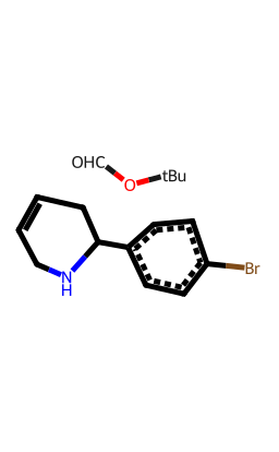 Brc1ccc(C2CC=CCN2)cc1.CC(C)(C)OC=O